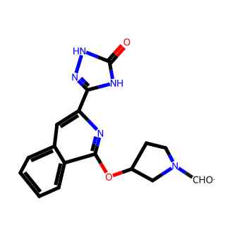 O=[C]N1CCC(Oc2nc(-c3n[nH]c(=O)[nH]3)cc3ccccc23)C1